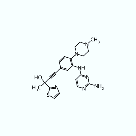 CN1CCN(c2ccc(C#CC(C)(O)c3nccs3)cc2Nc2ccnc(N)n2)CC1